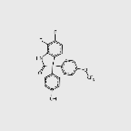 O=C1Nc2c(ccc(F)c2F)C1(c1ccc(O)cc1)c1ccc(OC(F)(F)F)cc1